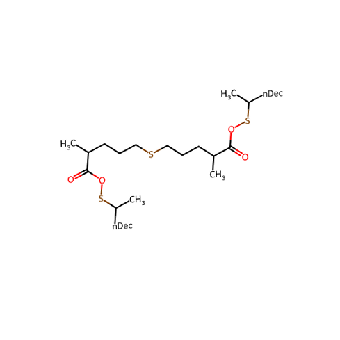 CCCCCCCCCCC(C)SOC(=O)C(C)CCCSCCCC(C)C(=O)OSC(C)CCCCCCCCCC